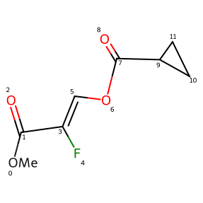 COC(=O)C(F)=COC(=O)C1CC1